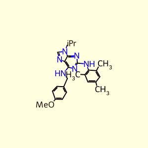 COc1ccc(CNc2nc(Nc3c(C)cc(C)cc3C)nc3c2ncn3C(C)C)cc1